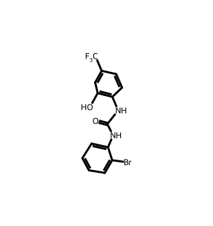 O=C(Nc1ccc(C(F)(F)F)cc1O)Nc1ccccc1Br